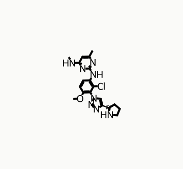 CNc1cc(C)nc(Nc2ccc(OC)c(-n3cc([C@H]4CCCN4)nn3)c2Cl)n1